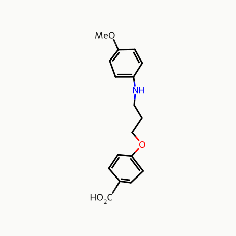 COc1ccc(NCCCOc2ccc(C(=O)O)cc2)cc1